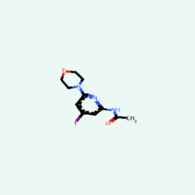 CC(=O)Nc1cc(I)cc(N2CCOCC2)n1